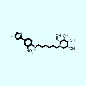 O=[N+]([O-])c1cc(-c2c[nH]cn2)ccc1NCCCCCCN1C[C@H](O)[C@@H](O)[C@H](O)[C@H]1CO